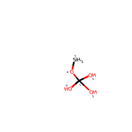 OC(O)(O)O[SiH3]